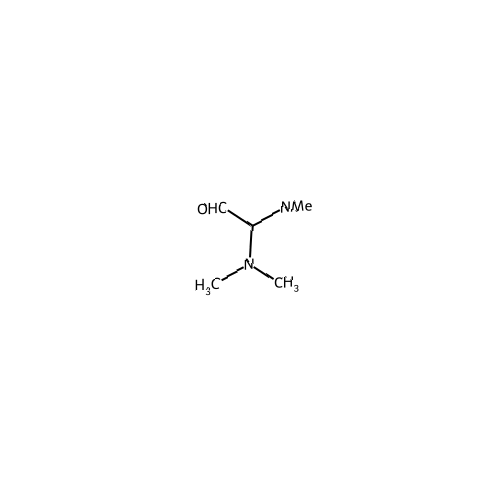 CNC(C=O)N(C)C